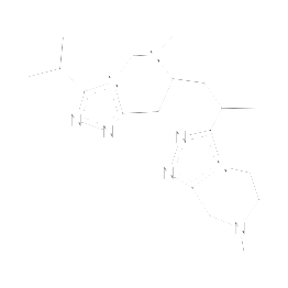 CC(C)c1nnc2n1CN(C)C(CC(C)c1nnc3n1CCN(C)C3)C2